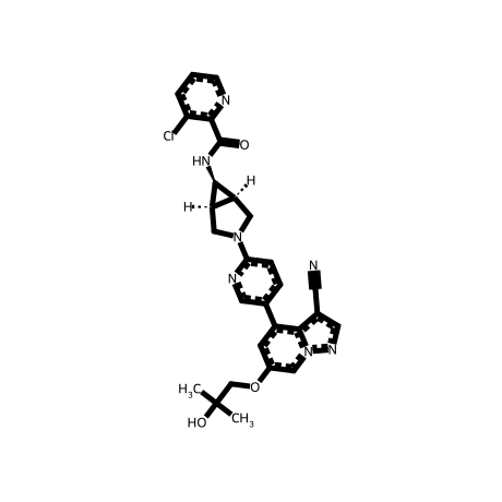 CC(C)(O)COc1cc(-c2ccc(N3C[C@@H]4[C@H](C3)[C@@H]4NC(=O)c3ncccc3Cl)nc2)c2c(C#N)cnn2c1